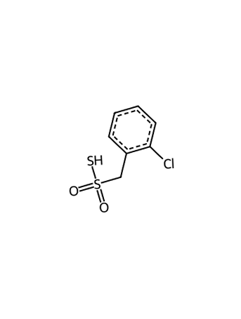 O=S(=O)(S)Cc1ccccc1Cl